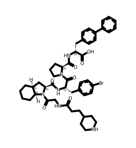 O=C(CCC1CCNCC1)NCC(=O)N1[C@H](C(=O)N[C@@H](Cc2ccc(Br)cc2)C(=O)N2CCC[C@H]2C(=O)N[C@H](Cc2ccc(-c3ccccc3)cc2)C(=O)O)C[C@@H]2CCCC[C@@H]21